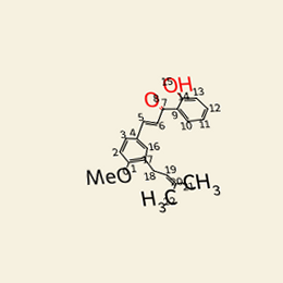 COc1ccc(/C=C/C(=O)c2ccccc2O)cc1CC=C(C)C